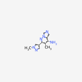 Cc1c(-c2cnn(C)c2)nn2cncc2c1N